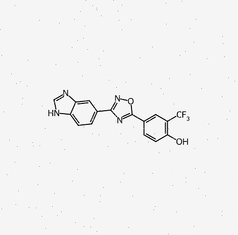 Oc1ccc(-c2nc(-c3ccc4[nH]cnc4c3)no2)cc1C(F)(F)F